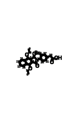 CCOc1c2c(c(OCC)c3ccccc13)C(=O)N(c1ccc(CC(=O)O)cc1Br)C2=O